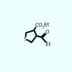 CCOC(=O)C1CSCC1C(=O)CC